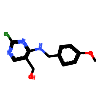 COc1ccc(CNc2nc(Cl)ncc2CO)cc1